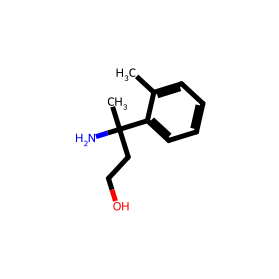 Cc1ccccc1C(C)(N)CCO